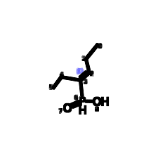 CC/C=C(\CC)[PH](=O)O